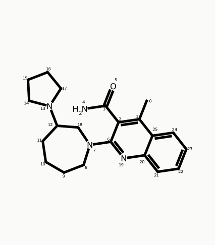 Cc1c(C(N)=O)c(N2CCCCC(N3CCCC3)C2)nc2cc[c]cc12